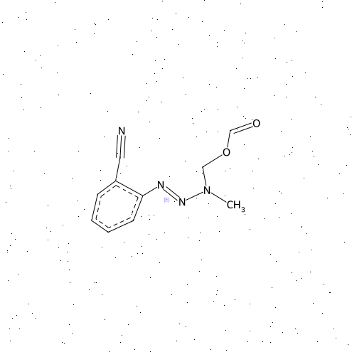 CN(COC=O)/N=N/c1ccccc1C#N